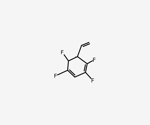 C=C[C]1C(F)=C(F)C=C(F)C1F